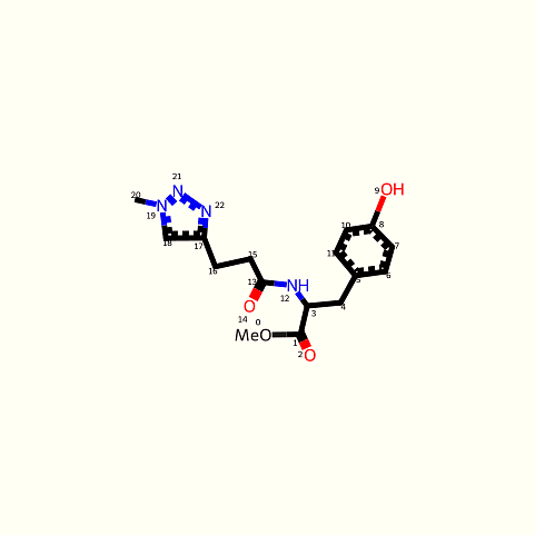 COC(=O)C(Cc1ccc(O)cc1)NC(=O)CCc1cn(C)nn1